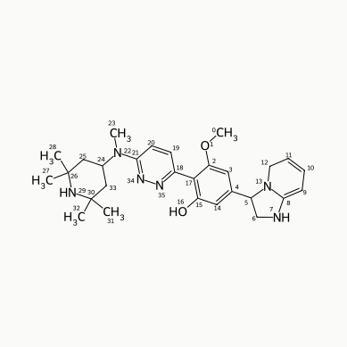 COc1cc(C2CNC3=CC=CCN32)cc(O)c1-c1ccc(N(C)C2CC(C)(C)NC(C)(C)C2)nn1